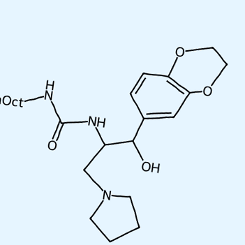 CCCCCCCCNC(=O)NC(CN1CCCC1)C(O)c1ccc2c(c1)OCCO2